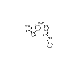 COc1ccc(OC(=O)NCC2CCCCC2)cc1-c1cncc(-c2cccn2C(=O)OC(C)(C)C)c1